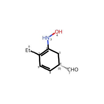 CCC1=C(NO)C[C@H](C=O)C=C1